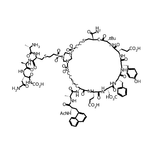 CC(=O)N[C@@H](Cc1cccc2ccccc12)C(=O)N[C@H](C)C(=O)N[C@@H]1CSCCS(=O)(=O)N2CN(CN(S(=O)(=O)CCSC[C@H](NC(=O)[C@H](C)N)C(=O)N[C@H](C)C(=O)N[C@@H](CC(N)=O)C(=O)NC(=O)O)C2)S(=O)(=O)CCSC[C@@H](C(N)=O)CC(=O)[C@H](C(C)(C)C)NC(=O)[C@H](CCC(=O)O)NC(=O)[C@H](Cc2ccc(O)cc2)NC(=O)[C@H](Cc2ccccc2)NC(=O)[C@H](CC(=O)O)NC(=O)[C@H](CCC(=O)O)NC1=O